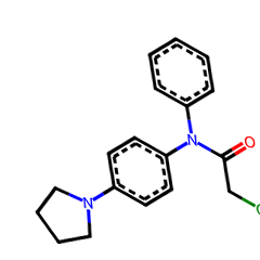 O=C(CCl)N(c1ccccc1)c1ccc(N2CCCC2)cc1